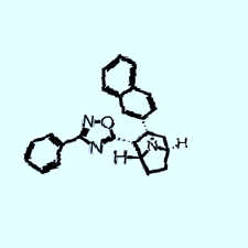 CN1[C@@H]2CC[C@@H]1[C@H](c1nc(-c3ccccc3)no1)[C@H](c1ccc3ccccc3c1)C2